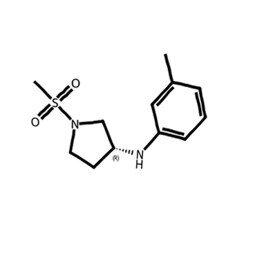 Cc1cccc(N[C@@H]2CCN(S(C)(=O)=O)C2)c1